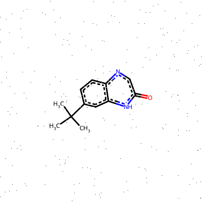 CC(C)(C)c1ccc2ncc(=O)[nH]c2c1